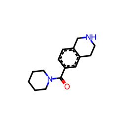 O=C(c1ccc2c(c1)CCNC2)N1CCCCC1